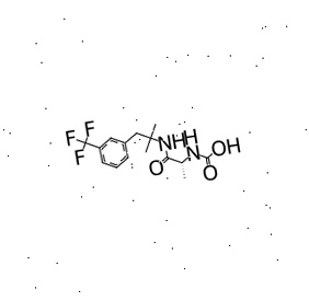 C[C@@H](NC(=O)O)C(=O)NC(C)(C)Cc1cccc(C(F)(F)F)c1